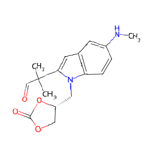 CNc1ccc2c(c1)cc(C(C)(C)C=O)n2C[C@@H]1COC(=O)O1